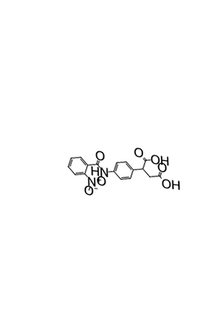 O=C(O)CC(C(=O)O)c1ccc(NC(=O)c2ccccc2[N+](=O)[O-])cc1